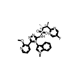 COc1ncccc1-c1nnc(NS(=O)(=O)[C@H](C)[C@@H](C)c2ncc(F)cn2)n1-c1cn(C)c2ccccc12